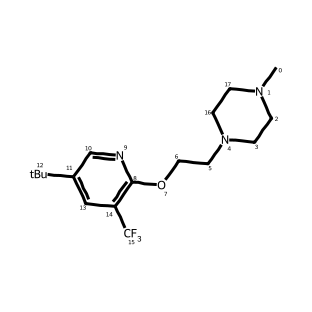 CN1CCN(CCOc2ncc(C(C)(C)C)cc2C(F)(F)F)CC1